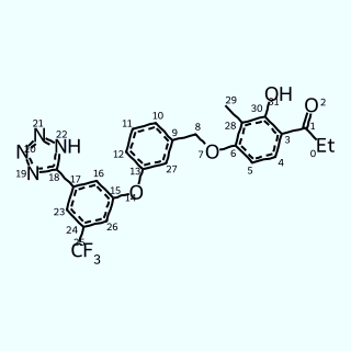 CCC(=O)c1ccc(OCc2cccc(Oc3cc(-c4nnn[nH]4)cc(C(F)(F)F)c3)c2)c(C)c1O